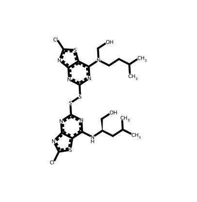 CC(C)CCN(CO)c1nc(SSc2nc(N[C@@H](CO)CC(C)C)c3sc(Cl)nc3n2)nc2nc(Cl)sc12